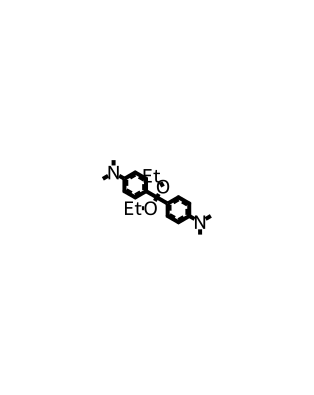 CCOC(OCC)(c1ccc(N(C)C)cc1)c1ccc(N(C)C)cc1